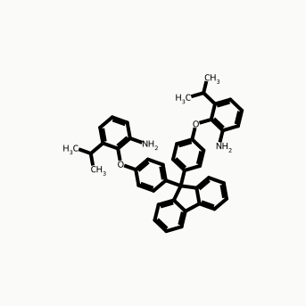 CC(C)c1cccc(N)c1Oc1ccc(C2(c3ccc(Oc4c(N)cccc4C(C)C)cc3)c3ccccc3-c3ccccc32)cc1